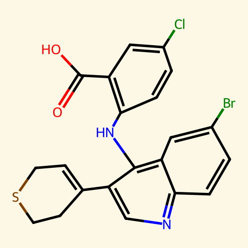 O=C(O)c1cc(Cl)ccc1Nc1c(C2=CCSCC2)cnc2ccc(Br)cc12